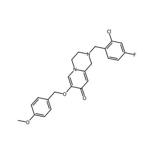 COc1ccc(COc2cn3c(cc2=O)CN(Cc2ccc(F)cc2Cl)CC3)cc1